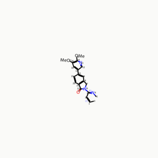 C/C=C\C(=N/C)N1Cc2cc(-c3cnc(OC)c(OC)c3)ccc2C1=O